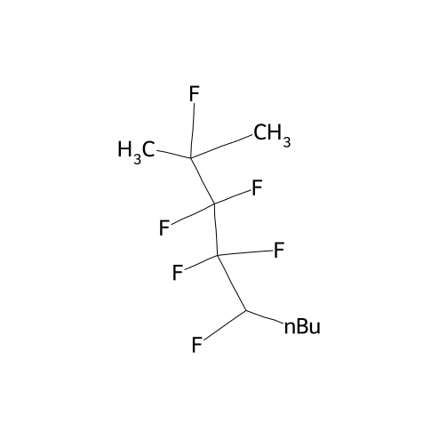 CCCCC(F)C(F)(F)C(F)(F)C(C)(C)F